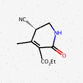 CCOC(=O)C1=C(C)[C@H](C#N)CNC1=O